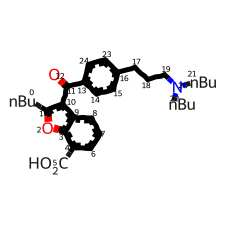 CCCCc1oc2c(C(=O)O)cccc2c1C(=O)c1ccc(CCCN(CCCC)CCCC)cc1